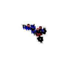 CCNC(=O)Nc1ncnc2c1ncn2C1OC(C(=O)N2CCCC2C(=O)O)[C@H]2O[C@@H](c3ccccc3)OC12